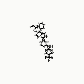 C=CC(=O)N1CCCCC1c1nccn2c(N3CCCC(Nc4ncc(C(F)(F)F)cn4)C3)ncc12